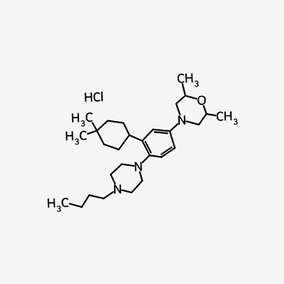 CCCCN1CCN(c2ccc(N3CC(C)OC(C)C3)cc2C2CCC(C)(C)CC2)CC1.Cl